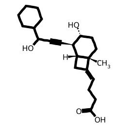 C[C@]12CC[C@@H](O)[C@H](C#CC(O)C3CCCCC3)[C@H]1C/C2=C\CCC(=O)O